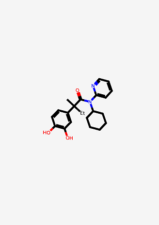 CCC(C)(C(=O)N(c1ccccn1)C1CCCCC1)c1ccc(O)c(O)c1